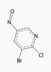 O=Nc1cnc(Cl)c(Br)c1